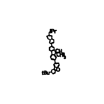 CC(C)Cc1ccc2cc(-c3ccc4c(c3)C(C)(C)c3cc(-c5ccc6oc7ccc(C(C)(C)C)cc7c6c5)ccc3-4)ccc2c1